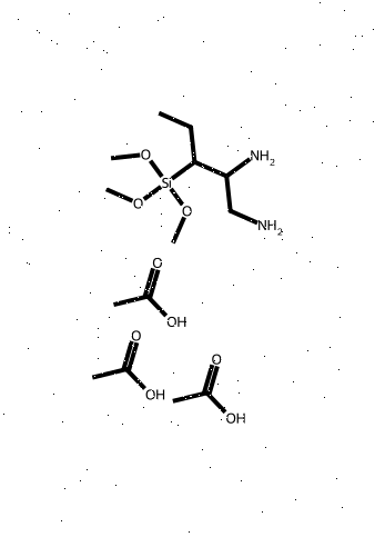 CC(=O)O.CC(=O)O.CC(=O)O.CCC(C(N)CN)[Si](OC)(OC)OC